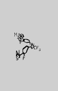 NS(=O)(=O)c1ccc(-n2nc(C(F)(F)F)cc2-c2ccc(-c3cscn3)c(F)c2)cc1F